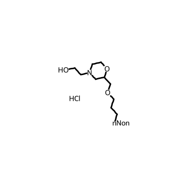 CCCCCCCCCCCCOCC1CN(CCO)CCO1.Cl